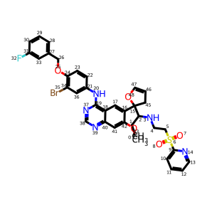 CCC(NCCS(=O)(=O)c1ccccn1)C1(c2cc3c(Nc4ccc(OCc5cccc(F)c5)c(Br)c4)ncnc3cc2OC)CC=CO1